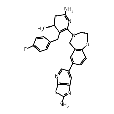 CC1CC(N)=NC(N2CCOc3ccc(-c4cnc5sc(N)nc5c4)cc3C2)=C1Cc1ccc(F)cc1